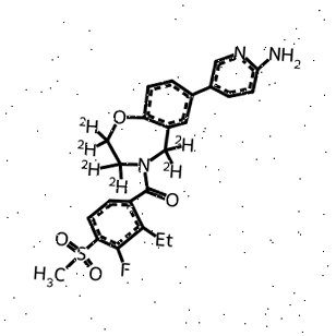 [2H]C1([2H])c2cc(-c3ccc(N)nc3)ccc2OC([2H])([2H])C([2H])([2H])N1C(=O)c1ccc(S(C)(=O)=O)c(F)c1CC